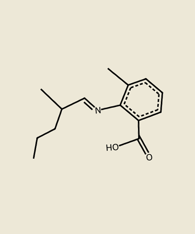 CCCC(C)C=Nc1c(C)cccc1C(=O)O